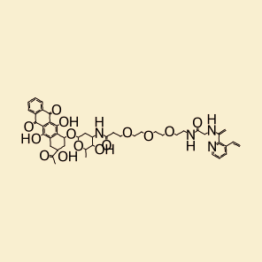 C=Cc1cccnc1C(=C)NCC(=O)NCCOCCOCCOCCC(=O)NC1CC(OC2CC(O)(C(C)=O)Cc3c(O)c4c(c(O)c32)C(=O)c2ccccc2C4=O)OC(C)C1O